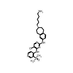 CP(C)(=O)c1cnccc1Nc1nc(Nc2ccc3c(c2)CC[C@@H](CCCCCN)CC3)ncc1Cl